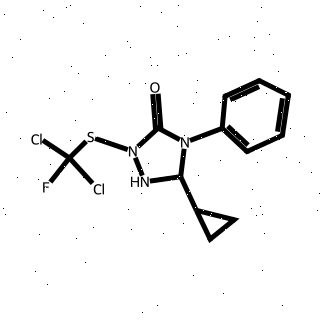 O=C1N(SC(F)(Cl)Cl)NC(C2CC2)N1c1ccccc1